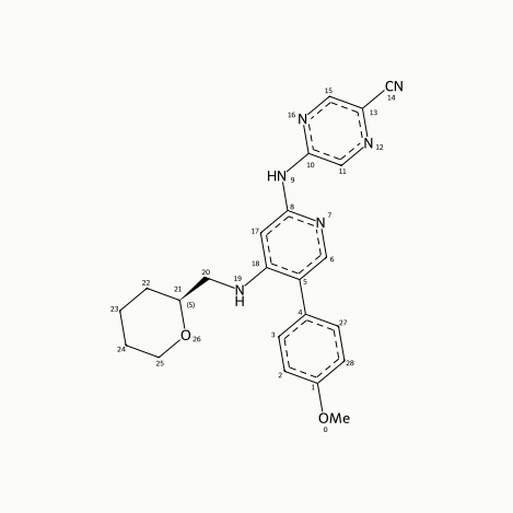 COc1ccc(-c2cnc(Nc3cnc(C#N)cn3)cc2NC[C@@H]2CCCCO2)cc1